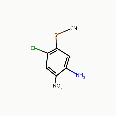 N#CSc1cc(N)c([N+](=O)[O-])cc1Cl